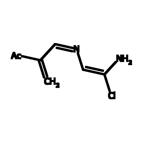 C=C(/C=N\C=C(/N)Cl)C(C)=O